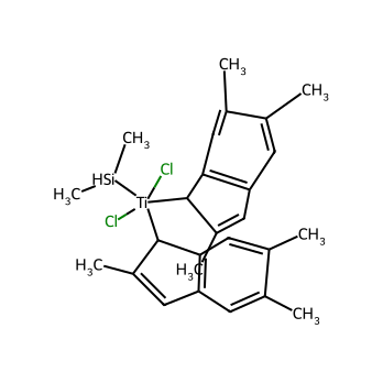 CC1=Cc2cc(C)c(C)cc2[CH]1[Ti]([Cl])([Cl])([CH]1C(C)=Cc2cc(C)c(C)cc21)[SiH](C)C